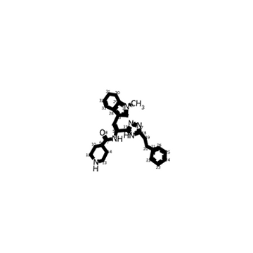 Cn1cc(/C=C(/NC(=O)C2CCNCC2)c2nnc(CCc3ccccc3)[nH]2)c2c1CCC=C2